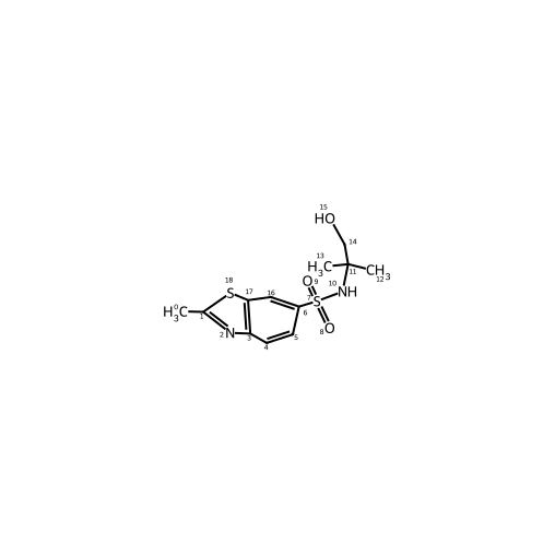 Cc1nc2ccc(S(=O)(=O)NC(C)(C)CO)cc2s1